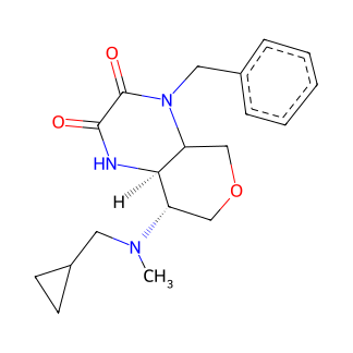 CN(CC1CC1)[C@H]1COCC2[C@@H]1NC(=O)C(=O)N2Cc1ccccc1